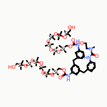 CN(CCO)C(=O)Nc1cccc(Cc2cc(Cc3cccc(NC(=O)OC[Si](C)(C)O[Si](C)(C)O[Si](C)(C)O[Si](C)(C)O[Si](C)(C)O[Si](C)(C)CO)c3)cc(NC(=O)OC[Si](C)(C)O[Si](C)(C)O[Si](C)(C)O[Si](C)(C)O[Si](C)(C)O[Si](C)(C)CO)c2)c1